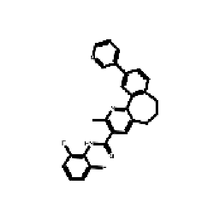 Cc1nc2c(cc1C(=O)Nc1c(F)cccc1F)CCCc1ccc(-c3cccnc3)cc1-2